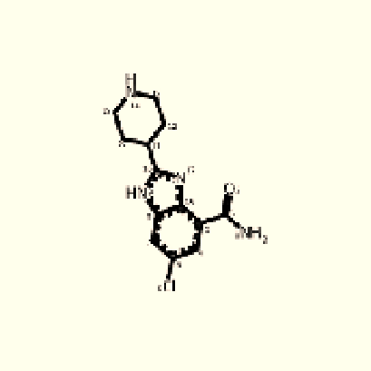 NC(=O)c1cc(Cl)cc2[nH]c(C3CCNCC3)nc12